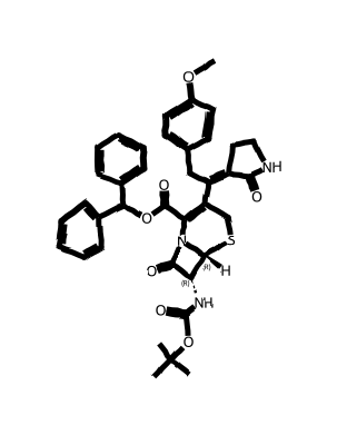 COc1ccc(CC(=C2CCNC2=O)C2=C(C(=O)OC(c3ccccc3)c3ccccc3)N3C(=O)[C@@H](NC(=O)OC(C)(C)C)[C@H]3SC2)cc1